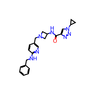 O=C(NC1CN(Cc2ccc(NCc3ccccc3)nc2)C1)c1cn(C2CC2)nn1